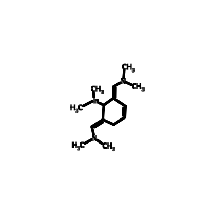 CN(C)C=C1C=CCC(=CN(C)C)[CH]1[In]([CH3])[CH3]